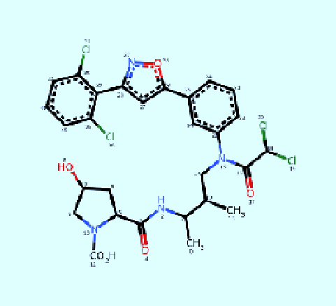 CC(NC(=O)C1CC(O)CN1C(=O)O)[C@H](C)CN(C(=O)C(Cl)Cl)c1cccc(-c2cc(-c3c(Cl)cccc3Cl)no2)c1